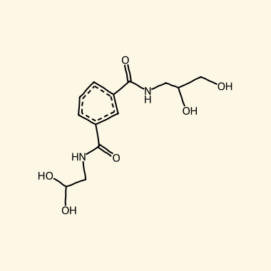 O=C(NCC(O)O)c1cccc(C(=O)NCC(O)CO)c1